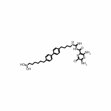 N=C(NCCCCc1ccc(-c2ccc(CCCCCCN(O)O)cc2)cc1)NC(=O)c1nc(Cl)c(N)nc1N